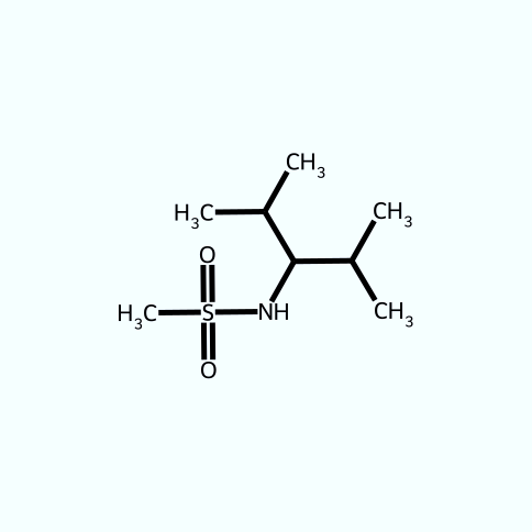 CC(C)C(NS(C)(=O)=O)C(C)C